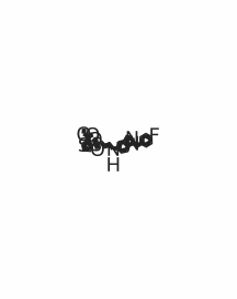 COC(=O)c1sccc1S(=O)(=O)CC=CNc1ccc2c(cnn2Cc2ccc(F)cc2)c1